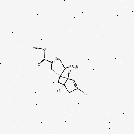 CCC1=C[C@@H]2[C@@H](C1)C[C@@]2(CNC(=O)OC(C)(C)C)C(C(=O)O)C(C)(C)C